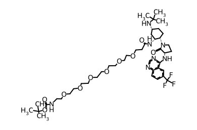 CC(C)(C)N[C@@H]1CC[C@H](N2CC[C@H](Nc3ncnc4ccc(C(F)(F)F)cc34)C2=O)[C@H](NC(=O)CCOCCOCCOCCOCCOCCOCCNC(=O)OC(C)(C)C)C1